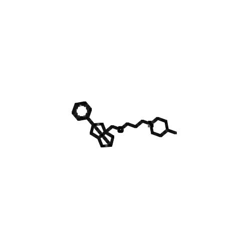 CC1CCN(CCCOCC23CC4CC2CC4(c2ccccc2)C3)CC1